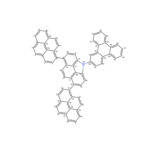 c1cc2ccc3ccc(-c4ccc5c6c4ccc4c(-c7ccc8ccc9cccc%10ccc7c8c9%10)ccc(c46)n5-c4ccc5c6ccccc6c6ccccc6c5c4)c4ccc(c1)c2c34